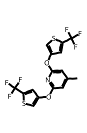 Cc1cc(Oc2csc(C(F)(F)F)c2)nc(Oc2csc(C(F)(F)F)c2)c1